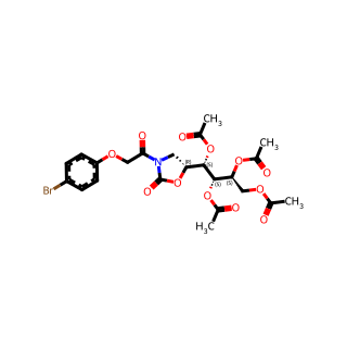 CC(=O)OC[C@H](OC(C)=O)[C@H](OC(C)=O)[C@@H](OC(C)=O)[C@H]1CN(C(=O)COc2ccc(Br)cc2)C(=O)O1